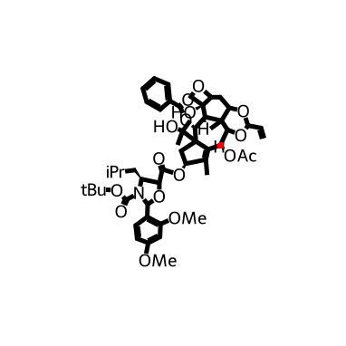 C=CC1OC2CC3OC[C@@]3(O)[C@H]3[C@H](OC(=O)c4ccccc4)C4(C(C)(C)O)C[C@H](OC(=O)C5OC(c6ccc(OC)cc6OC)N(C(=O)OC(C)(C)C)[C@H]5CC(C)C)C(C)=C4[C@H](OC(C)=O)[C@H](O1)C23C